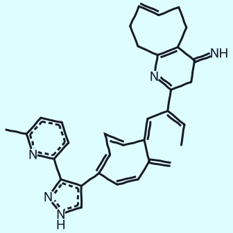 C=C1\C=C/C(c2c[nH]nc2-c2cccc(C)n2)=C/C=C/C1=C/C(=C\C)C1=NC2=C(CC/C=C/CC2)C(=N)C1